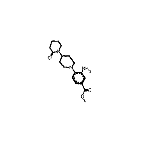 COC(=O)c1ccc(N2CCC(N3CCCCC3=O)CC2)c(N)c1